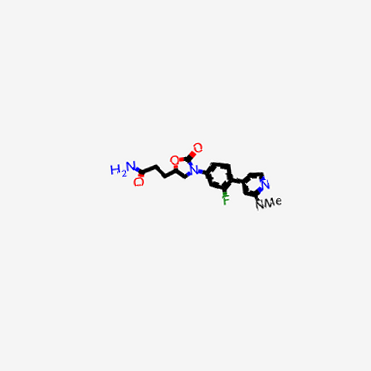 CNc1cc(-c2ccc(N3CC(CCC(N)=O)OC3=O)cc2F)ccn1